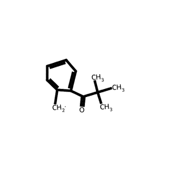 [CH2]c1ccccc1C(=O)C(C)(C)C